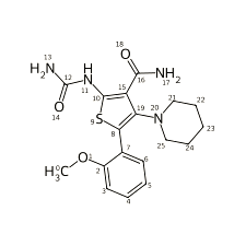 COc1ccccc1-c1sc(NC(N)=O)c(C(N)=O)c1N1CCCCC1